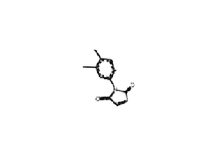 Cc1ccc(N2C(=O)C=CC2=O)cc1C